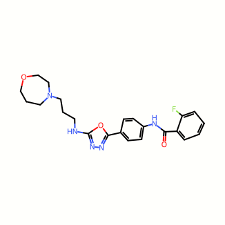 O=C(Nc1ccc(-c2nnc(NCCCN3CCCOCC3)o2)cc1)c1ccccc1F